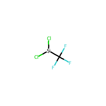 FC(F)(F)[Si](Cl)Cl